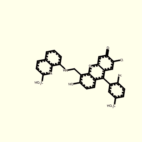 CC(=O)c1ccc(C(=O)O)cc1-c1c2cc(Cl)c(=O)cc-2oc2c(CNc3cccc4ccc(C(=O)O)nc34)c(O)ccc12